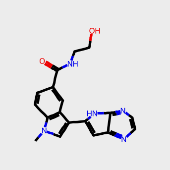 Cn1cc(-c2cc3nccnc3[nH]2)c2cc(C(=O)NCCO)ccc21